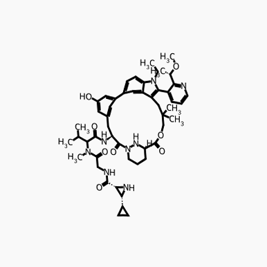 CCn1c(-c2cccnc2[C@H](C)OC)c2c3cc(ccc31)-c1cc(O)cc(c1)C[C@H](NC(=O)C(C(C)C)N(C)C(=O)CNC(=O)[C@@H]1N[C@@H]1C1CC1)C(=O)N1CCC[C@H](N1)C(=O)OCC(C)(C)C2